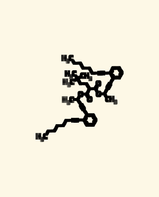 CCCCCCC#Cc1ccccc1C#CC(C)OC(=O)C(CCC(C)(C)C)C(=O)OC(C)C#Cc1ccccc1C#CCCCCCC